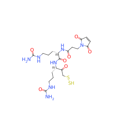 NC(=O)NCCC[C@H](NC(=O)[C@H](CCCNC(N)=O)NC(=O)CCN1C(=O)C=CC1=O)C(=O)CSS